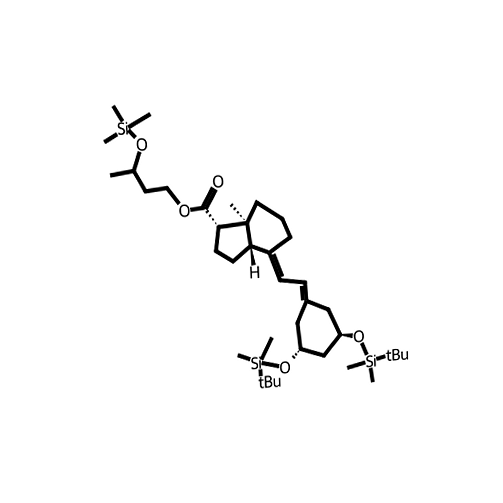 CC(CCOC(=O)[C@H]1CC[C@H]2/C(=C/C=C3C[C@@H](O[Si](C)(C)C(C)(C)C)C[C@H](O[Si](C)(C)C(C)(C)C)C3)CCC[C@]12C)O[Si](C)(C)C